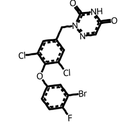 O=c1cnn(Cc2cc(Cl)c(Oc3ccc(F)c(Br)c3)c(Cl)c2)c(=O)[nH]1